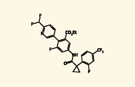 CCOC(=O)c1cc(NC(=O)C2(c3ccc(C(F)(F)F)cc3F)CC2)cc(F)c1-c1ccc(C(F)F)nc1